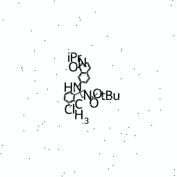 Cc1c(Cl)cccc1C1(Nc2ccc3ccn(C(C)C)c(=O)c3c2)CN(C(=O)OC(C)(C)C)C1